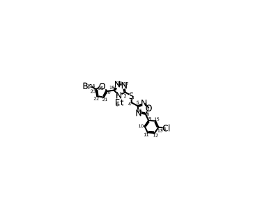 CCn1c(SCc2noc(-c3cccc(Cl)c3)n2)nnc1-c1ccc(Br)o1